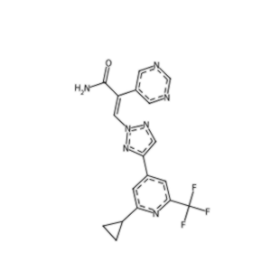 NC(=O)/C(=C/n1ncc(-c2cc(C3CC3)nc(C(F)(F)F)c2)n1)c1cncnc1